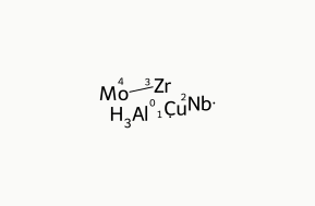 [AlH3].[Cu].[Nb].[Zr][Mo]